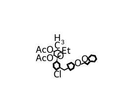 CC[C@H]1O[C@@H](c2ccc(Cl)c(Cc3ccc(OCc4cc5ccccc5o4)cc3)c2)[C@H](OC(C)=O)[C@@H](OC(C)=O)[C@@H]1C